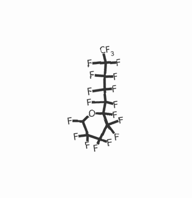 FC1OC(F)(C(F)(F)C(F)(F)C(F)(F)C(F)(F)C(F)(F)F)C(F)(F)C(F)(F)C1(F)F